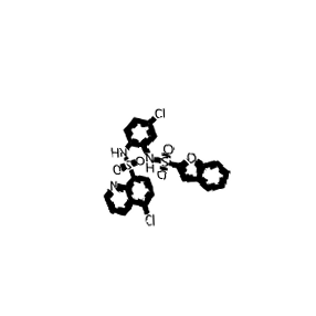 O=S(=O)(Nc1cc(Cl)ccc1NS(=O)(=O)c1ccc(Cl)c2cccnc12)c1cc2ccccc2o1